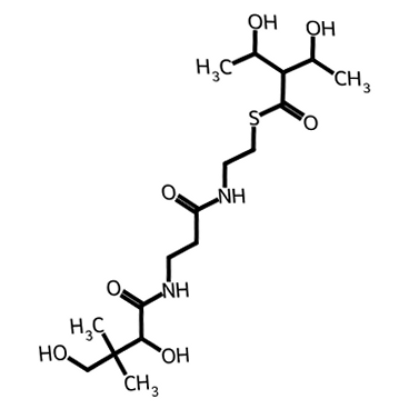 CC(O)C(C(=O)SCCNC(=O)CCNC(=O)C(O)C(C)(C)CO)C(C)O